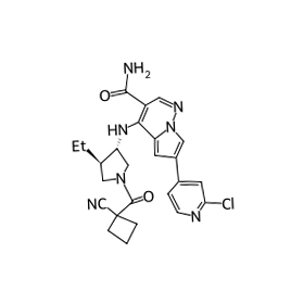 CC[C@@H]1CN(C(=O)C2(C#N)CCC2)C[C@H]1Nc1c(C(N)=O)cnn2cc(-c3ccnc(Cl)c3)cc12